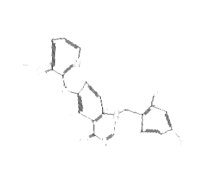 O=c1ncn(Cc2ccc(F)cc2Br)c2ccc(Oc3ncccc3C(F)(F)F)cc12